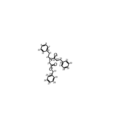 O=C(CN(CCc1ccccc1)C(=O)CCc1ccccc1)OCc1ccccc1